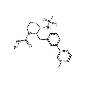 CCNC(=O)N1CCC[C@H](NS(C)(=O)=O)[C@H]1Cc1cccc(-c2cccc(F)c2)c1